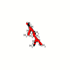 C=CC(=O)OCCNC(=O)OCC(OCCC[Si](C)(C)c1ccc([Si](C)(C)CCCOCC(OC(=O)NCCOC(=O)C=C)OC(=O)NCCOC(=O)C=C)cc1)OC(=O)NCCOC(=O)C=C